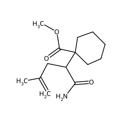 C=C(C)CC(C(N)=O)C1(C(=O)OC)CCCCC1